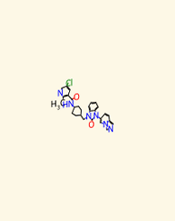 Cc1ncc(Cl)cc1C(=O)NC1CCC(Cn2c(=O)n(-c3ccc4cncn4c3)c3ccccc32)CC1